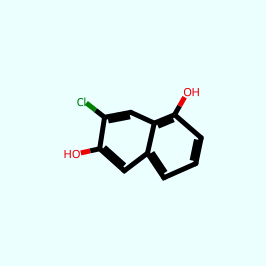 Oc1cc2cccc(O)c2cc1Cl